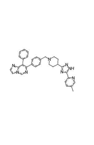 Cc1ccc(-c2nc(C3CCN(Cc4ccc(-c5ncn6ccnc6c5-c5ccccc5)cc4)CC3)n[nH]2)nc1